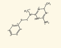 CC1N=C(N)NC(N(C)CCc2ccccc2)=N1